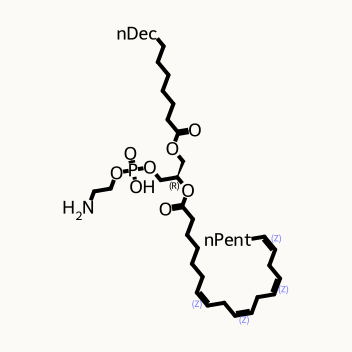 CCCCC/C=C\C/C=C\C/C=C\C/C=C\CCCCCC(=O)O[C@H](COC(=O)CCCCCCCCCCCCCCCC)COP(=O)(O)OCCN